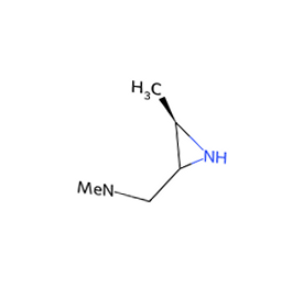 CNCC1N[C@@H]1C